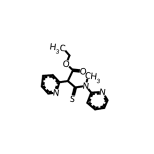 CCOC(=O)C(C(=S)N(C)c1ccccn1)c1ccccn1